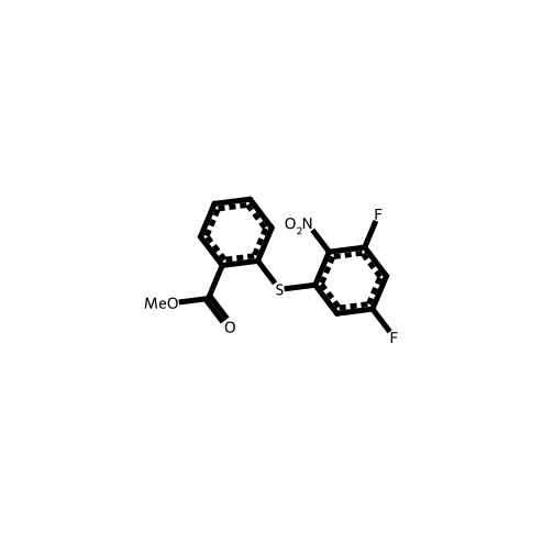 COC(=O)c1ccccc1Sc1cc(F)cc(F)c1[N+](=O)[O-]